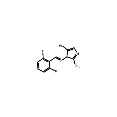 Cc1nnc(S)n1N=Cc1c(F)cccc1Br